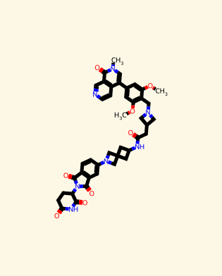 COc1cc(-c2cn(C)c(=O)c3cnccc23)cc(OC)c1CN1CC(CC(=O)NC2CC3(C2)CN(c2ccc4c(c2)C(=O)N(C2CCC(=O)NC2=O)C4=O)C3)C1